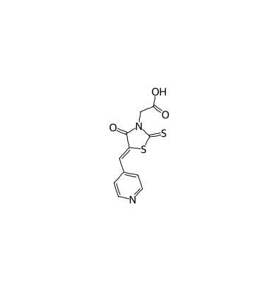 O=C(O)CN1C(=O)C(=Cc2ccncc2)SC1=S